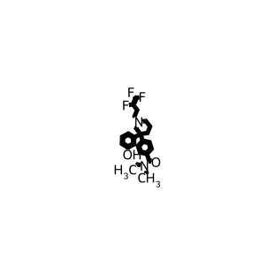 CCN(CC)C(=O)c1ccc(C2(c3cccc(O)c3)CCCN(CCC(F)=C(F)F)C2)cc1